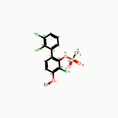 CCOc1ccc(-c2cccc(F)c2F)c(OS(=O)(=O)C(F)(F)F)c1F